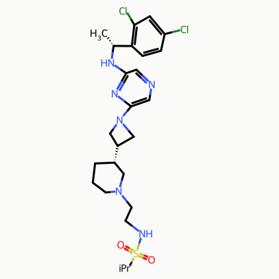 CC(C)S(=O)(=O)NCCN1CCC[C@H](C2CN(c3cncc(N[C@H](C)c4ccc(Cl)cc4Cl)n3)C2)C1